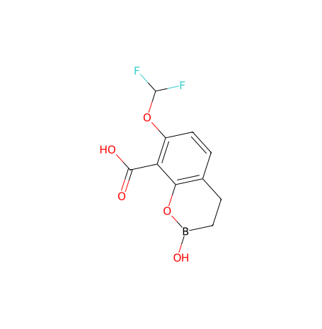 O=C(O)c1c(OC(F)F)ccc2c1OB(O)CC2